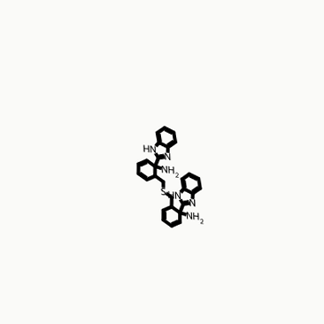 NC1(c2nc3ccccc3[nH]2)C=CC=CC1CSCC1C=CC=CC1(N)c1nc2ccccc2[nH]1